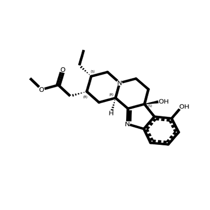 CC[C@@H]1CN2CC[C@@]3(O)C(=Nc4cccc(O)c43)[C@H]2C[C@@H]1CC(=O)OC